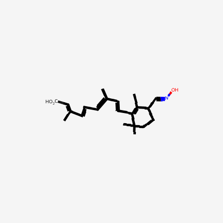 CC(C=CC1=C(C)C(C=NO)CCC1(C)C)=CC=CC(C)=CC(=O)O